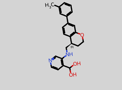 Cc1cccc(-c2ccc3c(c2)OCC[C@H]3CNc2cnccc2C(O)O)c1